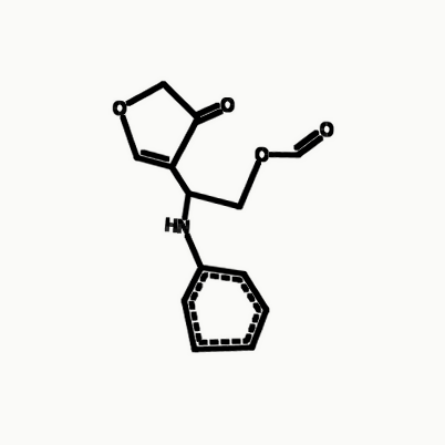 O=COCC(Nc1ccccc1)C1=COCC1=O